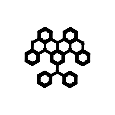 c1ccc(N(c2ccccc2)c2cc3c4c(c2)N2c5ccccc5Sc5cccc(c52)B4c2cccc4c2N3c2ccccc2S4)cc1